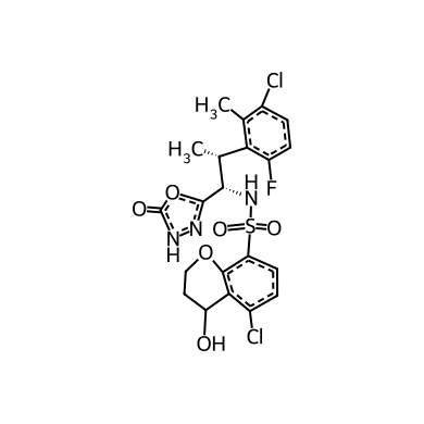 Cc1c(Cl)ccc(F)c1[C@@H](C)[C@H](NS(=O)(=O)c1ccc(Cl)c2c1OCCC2O)c1n[nH]c(=O)o1